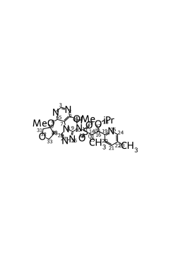 COc1ncnc(OC)c1-n1c(NS(=O)(=O)[C@@H](C)[C@@H](OC(C)C)c2ccc(C)cn2)nnc1[C@H]1CCOC1